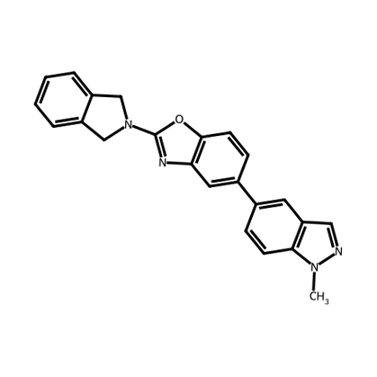 Cn1ncc2cc(-c3ccc4oc(N5Cc6ccccc6C5)nc4c3)ccc21